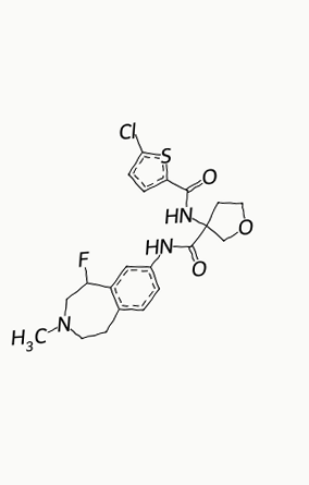 CN1CCc2ccc(NC(=O)C3(NC(=O)c4ccc(Cl)s4)CCOC3)cc2C(F)C1